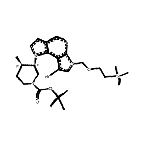 C[C@@H]1CCN(C(=O)OC(C)(C)C)C[C@@H]1n1ccc2cnc3c(c(Br)cn3COCC[Si](C)(C)C)c21